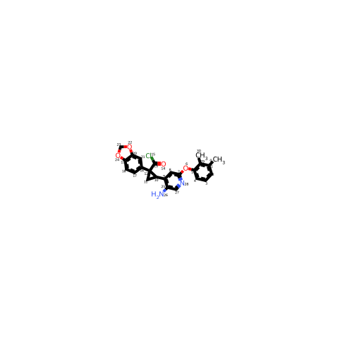 Cc1cccc(Oc2cc(C3CC3(C(=O)Cl)c3ccc4c(c3)OCO4)c(N)cn2)c1C